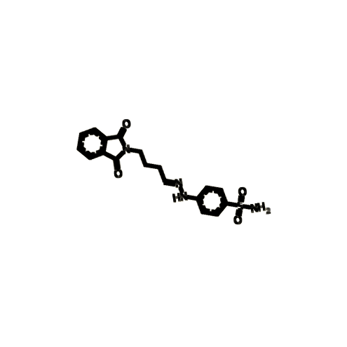 NS(=O)(=O)c1ccc(NN=CCCCN2C(=O)c3ccccc3C2=O)cc1